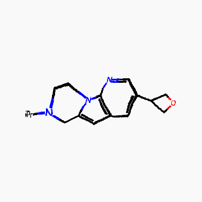 CC(C)N1CCn2c(cc3cc(C4COC4)cnc32)C1